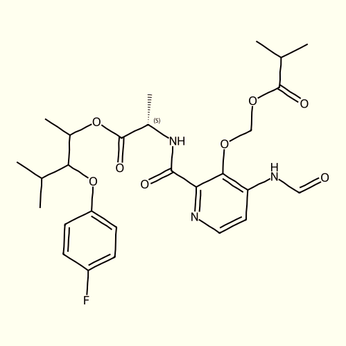 CC(C)C(=O)OCOc1c(NC=O)ccnc1C(=O)N[C@@H](C)C(=O)OC(C)C(Oc1ccc(F)cc1)C(C)C